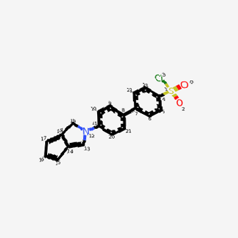 O=S(=O)(Cl)c1ccc(-c2ccc(N3C=C4C=CC=C4C3)cc2)cc1